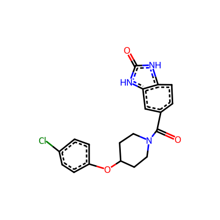 O=C(c1ccc2[nH]c(=O)[nH]c2c1)N1CCC(Oc2ccc(Cl)cc2)CC1